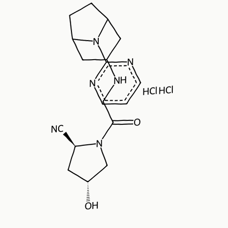 Cl.Cl.N#C[C@@H]1C[C@@H](O)CN1C(=O)CNC1CC2CCC(C1)N2c1ncccn1